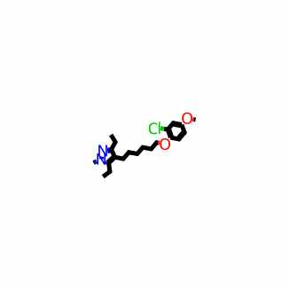 CCc1nn(C)c(CC)c1CCCCCCOc1ccc(OC)cc1Cl